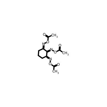 CC(=O)ON=C1CCCC(=NOC(C)=O)C1=NOC(C)=O